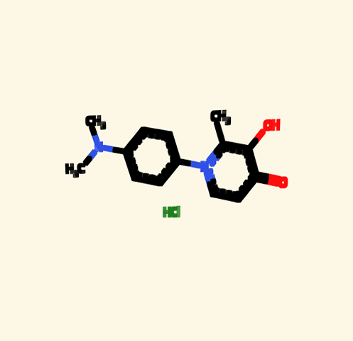 Cc1c(O)c(=O)ccn1-c1ccc(N(C)C)cc1.Cl